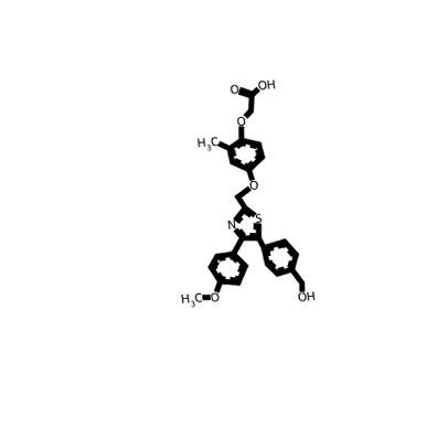 COc1ccc(-c2nc(COc3ccc(OCC(=O)O)c(C)c3)sc2-c2ccc(CO)cc2)cc1